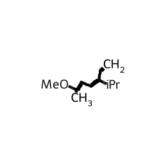 C=C/C(=C\C=C(/C)OC)C(C)C